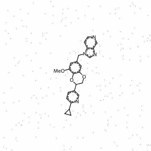 COc1cc(Cn2cnc3cnccc32)cc2c1OC(c1ccc(C3CC3)nc1)CO2